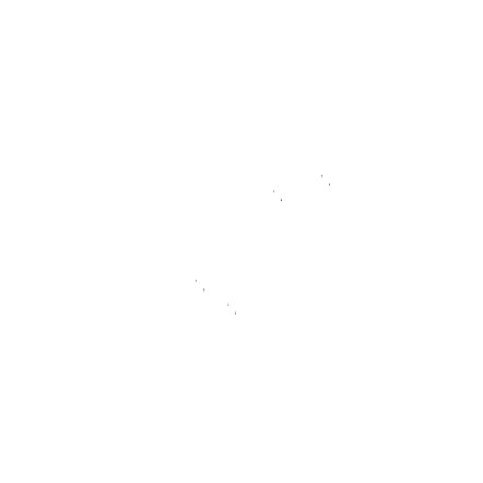 [C-]#[N+]c1ccccc1N(c1ccccc1)c1cc(C2CCCC2)c2ccc3c(N(c4ccccc4)c4ccccc4C#N)cc(C4CCCC4)c4ccc1c2c43